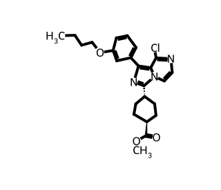 CCCCOc1cccc(-c2nc([C@H]3CC[C@H](C(=O)OC)CC3)n3ccnc(Cl)c23)c1